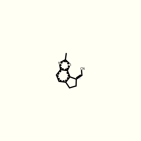 Cc1nc2ccc3c(c2s1)/C(=C\C#N)CC3